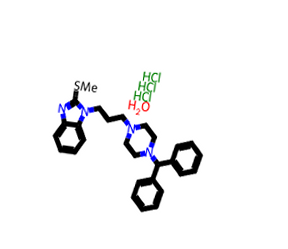 CSc1nc2ccccc2n1CCCN1CCN(C(c2ccccc2)c2ccccc2)CC1.Cl.Cl.Cl.O